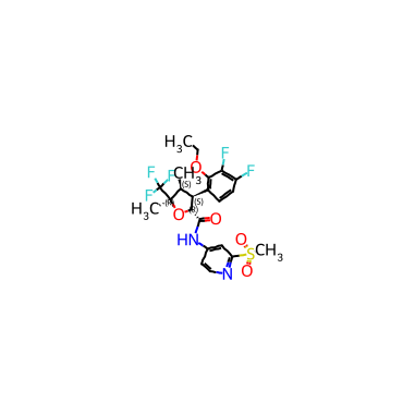 CCOc1c([C@H]2[C@H](C(=O)Nc3ccnc(S(C)(=O)=O)c3)O[C@@](C)(C(F)(F)F)[C@H]2C)ccc(F)c1F